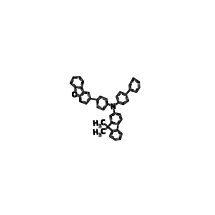 CC1(C)c2ccccc2-c2ccc(N(c3ccc(-c4ccccc4)cc3)c3ccc(-c4ccc5oc6ccccc6c5c4)cc3)cc21